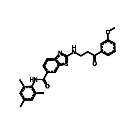 COc1cccc(C(=O)CCNc2nc3ccc(C(=O)Nc4c(C)cc(C)cc4C)cc3s2)c1